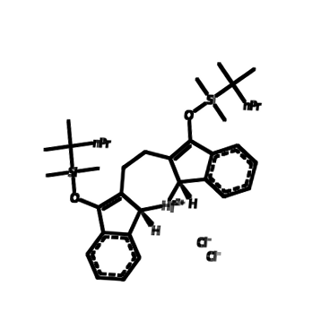 CCCC(C)(C)[Si](C)(C)OC1=C2CCC3=C(O[Si](C)(C)C(C)(C)CCC)c4ccccc4[C@H]3[Hf+2][C@H]2c2ccccc21.[Cl-].[Cl-]